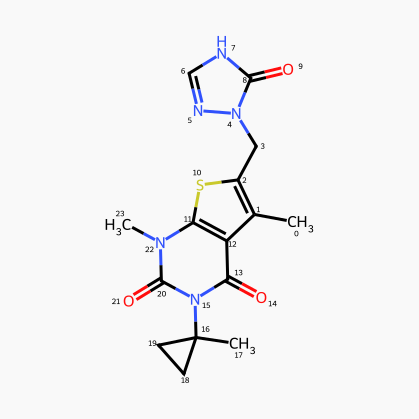 Cc1c(Cn2nc[nH]c2=O)sc2c1c(=O)n(C1(C)CC1)c(=O)n2C